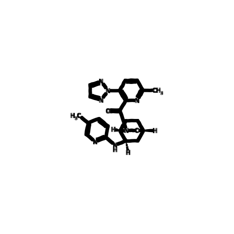 Cc1ccc(N[C@@H]2C[C@H]3CC[C@@H]2N(C(=O)c2nc(C)ccc2-n2nccn2)C3)nc1